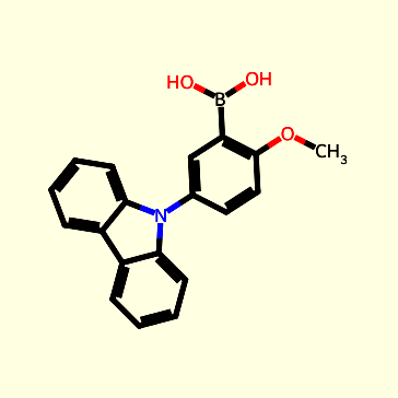 COc1ccc(-n2c3ccccc3c3ccccc32)cc1B(O)O